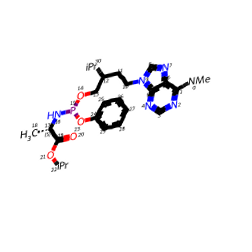 CNc1ncnc2c1ncn2CCC(COP(N[C@@H](C)C(=O)OC(C)C)Oc1ccccc1)C(C)C